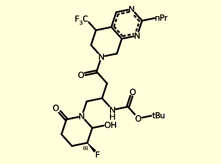 CCCc1ncc2c(n1)CN(C(=O)CC(CN1C(=O)CC[C@H](F)C1O)NC(=O)OC(C)(C)C)CC2C(F)(F)F